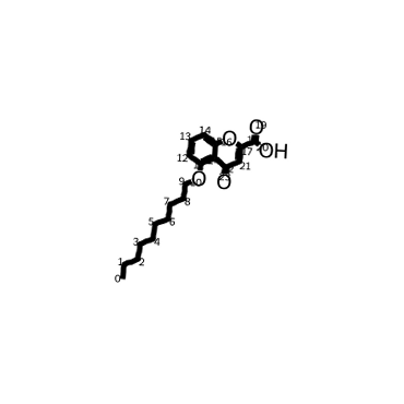 CCCCCCCCCCOc1cccc2oc(C(=O)O)cc(=O)c12